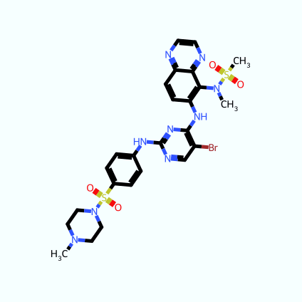 CN1CCN(S(=O)(=O)c2ccc(Nc3ncc(Br)c(Nc4ccc5nccnc5c4N(C)S(C)(=O)=O)n3)cc2)CC1